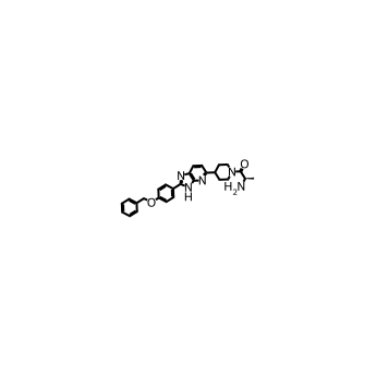 C[C@@H](N)C(=O)N1CCC(c2ccc3nc(-c4ccc(OCc5ccccc5)cc4)[nH]c3n2)CC1